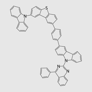 c1ccc(-c2nc(-n3c4ccccc4c4cc(-c5ccc(-c6ccc7sc8ccc(-n9c%10ccccc%10c%10ccccc%109)cc8c7c6)cc5)ccc43)nc3ccccc23)cc1